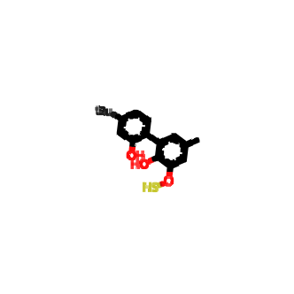 Cc1cc(OS)c(O)c(-c2ccc(C(C)(C)C)cc2O)c1